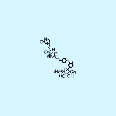 CS[C@H]1O[C@@H](c2ccc(C)c(Cc3ccc(CCCC(=O)NC(C)(C)C(=O)NCCN4CCN(C)C(=O)C4)cc3)c2)[C@H](O)[C@@H](O)[C@@H]1O